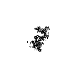 CCCC[C@@H](N)C(=O)N[C@@H](CCCNC(=N)N)C(=O)N[C@@H](Cc1c[nH]c2ccccc12)C(=O)N[C@H](C(=O)N[C@@H](SCC(=O)N[C@@H](Cc1ccc2ccccc2c1)C(=O)N[C@H](C(=O)N[C@@H](CO)C(=O)NC(=O)N[C@H](CCCCN)C(=O)N[C@@H](CC(=O)O)C(=O)N[C@H](C=O)Cc1c[nH]c2ccccc12)[C@@H](C)CC)C(N)=O)C(C)C